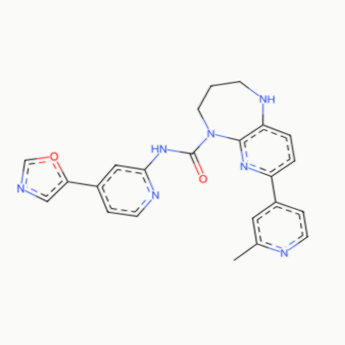 Cc1cc(-c2ccc3c(n2)N(C(=O)Nc2cc(-c4cnco4)ccn2)CCCN3)ccn1